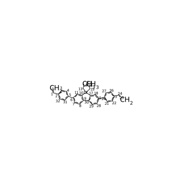 C=Cc1ccc(-c2ccc3c(c2)C(CC)(CC)c2cc(-c4ccc(C=C)cc4)ccc2-3)cc1